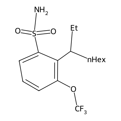 CCCCCCC(CC)c1c(OC(F)(F)F)cccc1S(N)(=O)=O